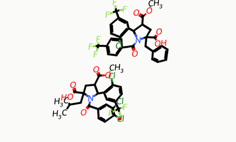 COC(=O)C1CC(CC(C)C)(C(=O)O)N(C(=O)c2ccc(Cl)c(Cl)c2)C1c1cc(C(F)(F)F)ccc1Cl.COC(=O)C1CC(Cc2ccccc2)(C(=O)O)N(C(=O)c2ccc(C(F)(F)F)cc2)C1c1cc(C(F)(F)F)ccc1Cl